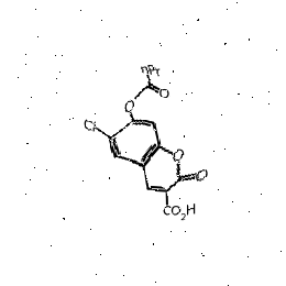 CCCC(=O)Oc1cc2oc(=O)c(C(=O)O)cc2cc1Cl